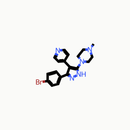 CN1CCN(c2[nH]nc(-c3ccc(Br)cc3)c2-c2ccncc2)CC1